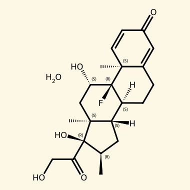 C[C@@H]1C[C@H]2[C@@H]3CCC4=CC(=O)C=C[C@]4(C)[C@@]3(F)[C@@H](O)C[C@]2(C)[C@@]1(O)C(=O)CO.O